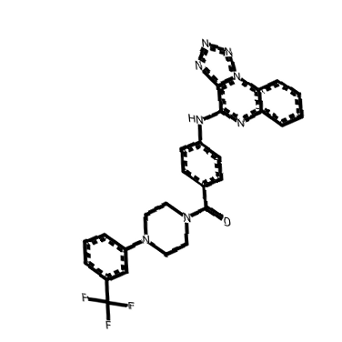 O=C(c1ccc(Nc2nc3ccccc3n3nnnc23)cc1)N1CCN(c2cccc(C(F)(F)F)c2)CC1